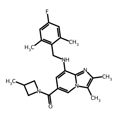 Cc1cc(F)cc(C)c1CNc1cc(C(=O)N2CC(C)C2)cn2c(C)c(C)nc12